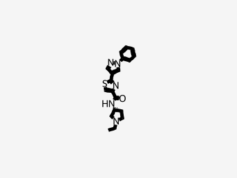 CCN1CC[C@@H](NC(=O)c2csc(-c3cnn(-c4ccccc4)c3)n2)C1